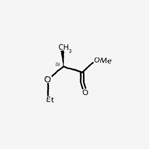 CCO[C@@H](C)C(=O)OC